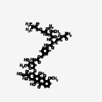 COc1cccc2c1C(=O)c1c(O)c3c(c(O)c1C2=O)C[C@@](O)(C(=O)CO)C[C@@H]3O[C@H]1C[C@H](NC(=O)OCc2ccc(NC(=O)[C@H](CCCNC(N)=O)NC(=O)[C@@H](NC(=O)COCC(=O)C(C)C)C(C)C)cc2)[C@@H](O)[C@H](C)O1